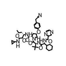 CCC[C@H](NC(=O)[C@@H]1C[C@@H](Oc2ccc(CC#N)cc2)CN1C(=O)[C@@H](NC(=O)[C@@H](NC(=O)c1cnccn1)C1CCCCC1)C(C)(C)C)C(=O)C(=O)NC1CC1